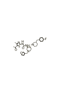 CC(=O)c1sc(NC(=O)N[C@H]2CN(Cc3ccoc3)CC[C@H]2CN2CCCC(Cc3ccc(F)cc3)C2)nc1C